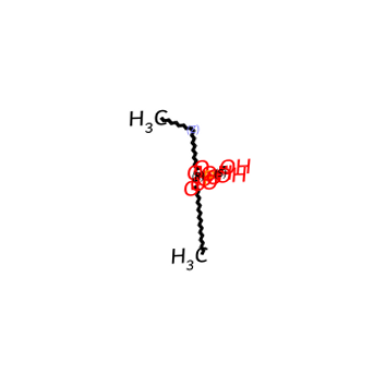 CCCCCCCC/C=C\CCCCCCCCCC(=O)O[C@H](COC(=O)CCCCCCCCCCCCCCCCCC)COP(=O)(O)OC[C@@H](O)CO